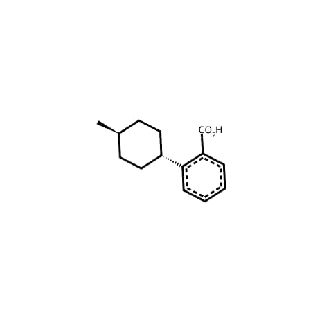 C[C@H]1CC[C@H](c2ccccc2C(=O)O)CC1